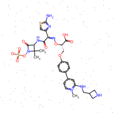 C[n+]1ccc(-c2ccc(OC[C@H](O/N=C(\C(=O)NC3C(=O)N(OS(=O)(=O)[O-])C3(C)C)c3csc(N)n3)C(=O)O)cc2)cc1NCC1CNC1